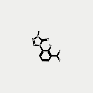 [3H]c1c(C(F)F)cccc1-n1nnn(C)c1=O